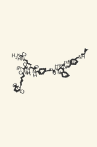 CCCCc1nc2c(NC(=O)OCc3ccc(NC(=O)[C@H](CCCNC(N)=O)NC(=O)[C@@H](NC(=O)CCCCCN4C(=O)C=CC4=O)C(C)C)cc3)nc3ccccc3c2n1Cc1ccc(CNCCC2CC2)cc1